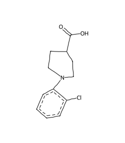 O=C(O)C1CCN(c2ccccc2Cl)CC1